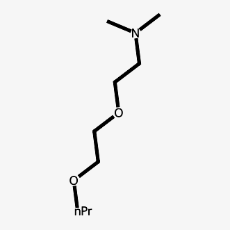 CCCOCCOCCN(C)C